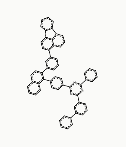 c1ccc(-c2cccc(-c3nc(-c4ccccc4)nc(-c4ccc(-c5c(-c6cccc(-c7ccc8c9c(cccc79)-c7ccccc7-8)c6)ccc6ccccc56)cc4)n3)c2)cc1